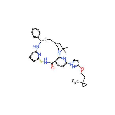 CC1(C)CC2CCC(c3ccccc3)Nc3cccc(n3)SNC(=O)c3ccc(-n4ccc(OCCC5(C(F)(F)F)CC5)n4)nc3N1C2